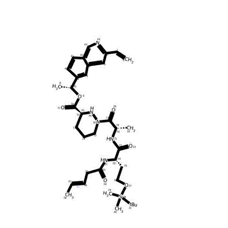 C=Cc1cc2cc([C@@H](C)OC(=O)[C@@H]3CCCN(C(=O)[C@H](C)NC(=O)[C@H](CCO[Si](C)(C)C(C)(C)C)NC(=O)C/C=C/C)N3)ccc2cn1